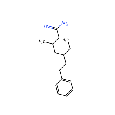 CC[C](CCc1ccccc1)CC(C)CC(=N)N